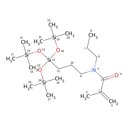 C=C(C)C(=O)N(CCC)CCC[Si](O[Si](C)(C)C)(O[Si](C)(C)C)O[Si](C)(C)C